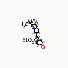 CCOC(=O)C1(/C=C/c2ccc3ccc([C@@H](C)OC(C)=O)nc3c2)CCC(=O)CC1